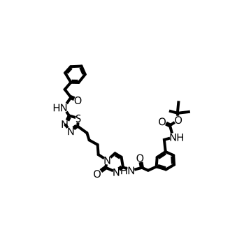 CC(C)(C)OC(=O)NCc1cccc(CC(=O)Nc2ccn(CCCCc3nnc(NC(=O)Cc4ccccc4)s3)c(=O)n2)c1